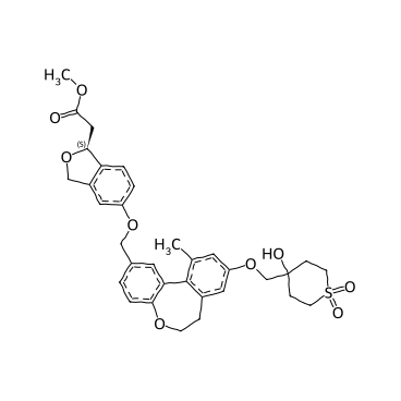 COC(=O)C[C@@H]1OCc2cc(OCc3ccc4c(c3)-c3c(C)cc(OCC5(O)CCS(=O)(=O)CC5)cc3CCO4)ccc21